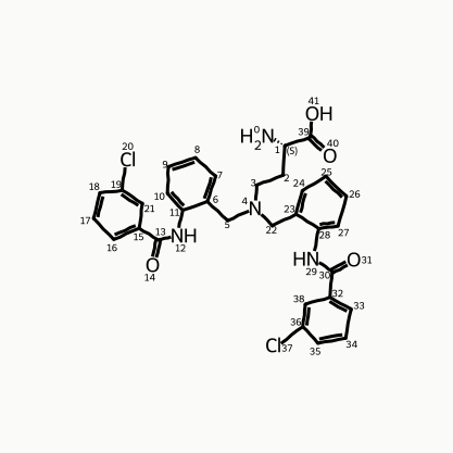 N[C@@H](CCN(Cc1ccccc1NC(=O)c1cccc(Cl)c1)Cc1ccccc1NC(=O)c1cccc(Cl)c1)C(=O)O